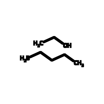 BCCCC.CCO